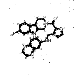 O=C(c1occc1CNc1ccc2nccnc2c1)N1CCc2c([nH]c3cc(F)ccc23)C1